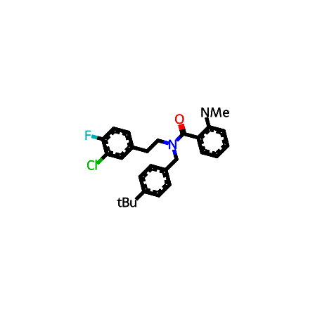 CNc1ccccc1C(=O)N(CCc1ccc(F)c(Cl)c1)Cc1ccc(C(C)(C)C)cc1